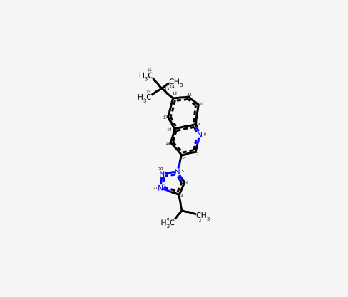 CC(C)c1cn(-c2cnc3ccc(C(C)(C)C)cc3c2)nn1